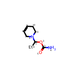 CCC(OC(N)=O)N1CC=CCC1